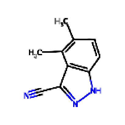 Cc1ccc2[nH]nc(C#N)c2c1C